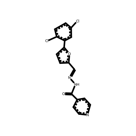 O=C(N/N=C/c1ccc(-c2cc(Cl)ccc2Cl)o1)c1ccncc1